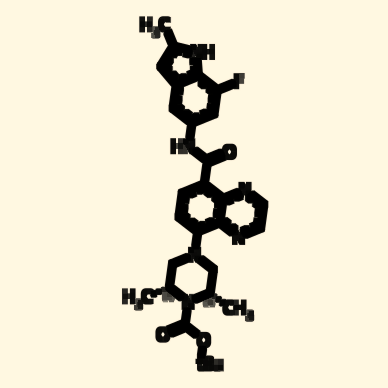 Cc1cc2cc(NC(=O)c3ccc(N4C[C@@H](C)N(C(=O)OC(C)(C)C)[C@@H](C)C4)c4nccnc34)cc(F)c2[nH]1